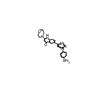 Nc1ccc(-n2cc(-c3ccc4[nH]c(N5CCOCC5)cc(=O)c4c3)nn2)cc1